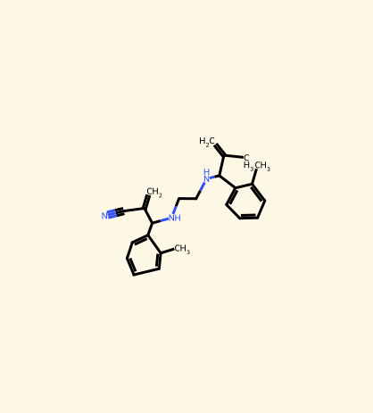 C=C(C)C(NCCNC(C(=C)C#N)c1ccccc1C)c1ccccc1C